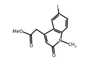 COC(=O)Cc1cc(=O)n(C)c2ccc(I)cc12